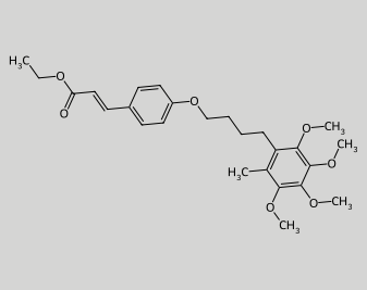 CCOC(=O)C=Cc1ccc(OCCCCc2c(C)c(OC)c(OC)c(OC)c2OC)cc1